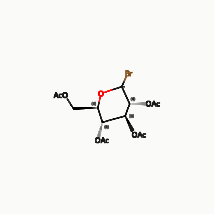 CC(=O)OC[C@H]1O[C](Br)[C@H](OC(C)=O)[C@@H](OC(C)=O)[C@@H]1OC(C)=O